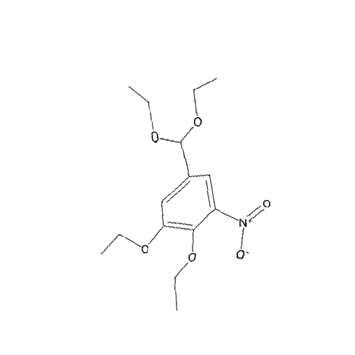 CCOc1cc(C(OCC)OCC)cc([N+](=O)[O-])c1OCC